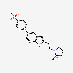 C[C@@H]1CCCN1CCc1cc2cc(-c3ccc(S(C)(=O)=O)cc3)ccc2[nH]1